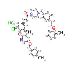 Cc1ccc(COc2ccc(Oc3c(C)cc(C=CC(=O)N4CCN(Cc5ccc(CCOc6ccccc6C)cc5)CC4)cc3Cl)nc2)cc1.Cl